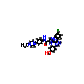 CN1CCN(c2ccc(NC(=O)c3c[nH]c(-c4c(-c5ccc(F)cc5)ncn4C4CCC(O)CC4)n3)cc2)CC1